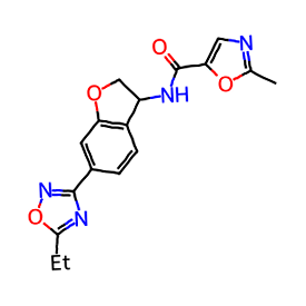 CCc1nc(-c2ccc3c(c2)OCC3NC(=O)c2cnc(C)o2)no1